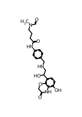 CN(C=O)CCCC(=O)Nc1ccc(CNCC(O)c2ccc(O)c3c2OCC(=O)N3)cc1